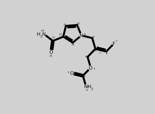 NC(=O)OC/C(=C/F)Cn1ccc(C(N)=O)c1